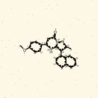 COc1ccc(-c2cc(=O)n3nc(C)c(-c4cccc5ccccc45)c3[nH]2)cc1